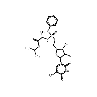 Cc1cn([C@H]2O[C@@H](COP(=O)(N[C@@H](C)C(=O)OC(C)C)Oc3ccccc3)[C@@H](O)C2Cl)c(=S)[nH]c1=S